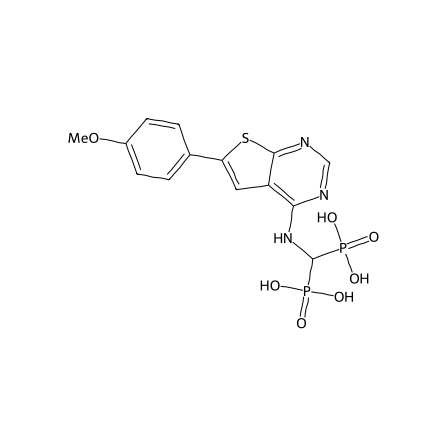 COc1ccc(-c2cc3c(NC(P(=O)(O)O)P(=O)(O)O)ncnc3s2)cc1